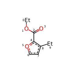 CCOC(=O)c1occc1CC